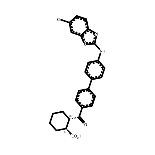 O=C(O)[C@H]1CCCC[C@@H]1C(=O)c1ccc(-c2ccc(Nc3nc4ccc(Cl)cc4s3)cc2)cc1